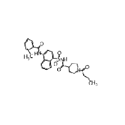 CCCC(=O)N1CCC(C(=O)NS(=O)(=O)c2ccc(NC(=O)c3ccccc3C)c3ccccc23)CC1